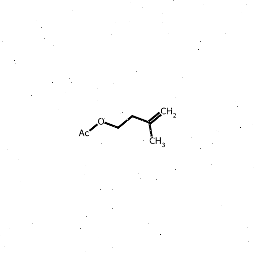 C=C(C)CCOC(C)=O